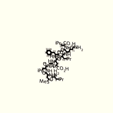 CSCCC(NC(=O)C(N)CC(C)C)C(=O)NC(CC(C)C)C(=O)NCC(=O)NC(CCC(=O)O)C(=O)NC(Cc1ccccc1)C(=O)NC(CC(C)C)C(=O)NC(CCCCN)C(=O)NC(CC(C)C)C(=O)O